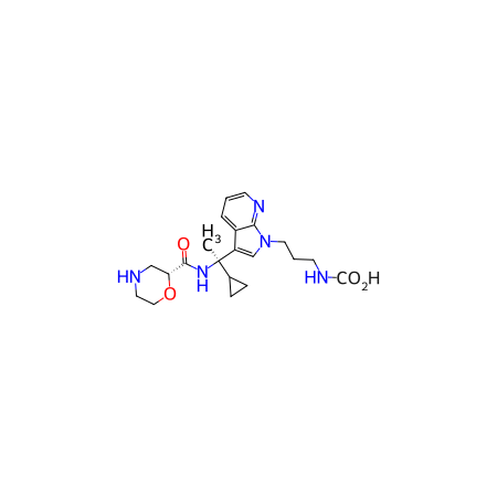 C[C@](NC(=O)[C@H]1CNCCO1)(c1cn(CCCNC(=O)O)c2ncccc12)C1CC1